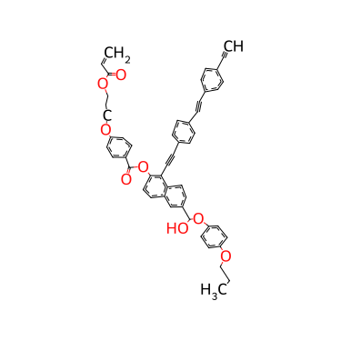 C#Cc1ccc(C#Cc2ccc(C#Cc3c(OC(=O)c4ccc(OCCCOC(=O)C=C)cc4)ccc4cc(C(O)Oc5ccc(OCCC)cc5)ccc34)cc2)cc1